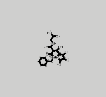 O=C(O)CNC(=O)c1c(O)c2c(Cl)c(Cl)c(Cl)n2n(Cc2ccccc2)c1=O